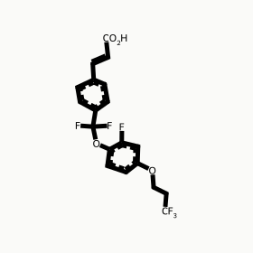 O=C(O)/C=C/c1ccc(C(F)(F)Oc2ccc(OCCC(F)(F)F)cc2F)cc1